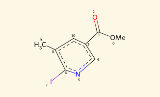 COC(=O)c1cnc(I)c(C)c1